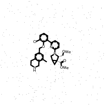 COC[C@H]1N(c2cccc(-c3cccc(Cl)c3OCc3cc(C)c4c(c3)CCNC4)n2)CC2C[C@@]21C(=O)OC